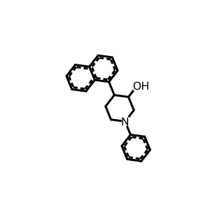 OC1CN(c2ccccc2)CCC1c1cccc2ccccc12